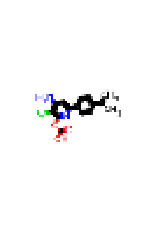 CC(C)c1ccc(-c2cc(N)c(Cl)c(OC(=O)O)n2)cc1